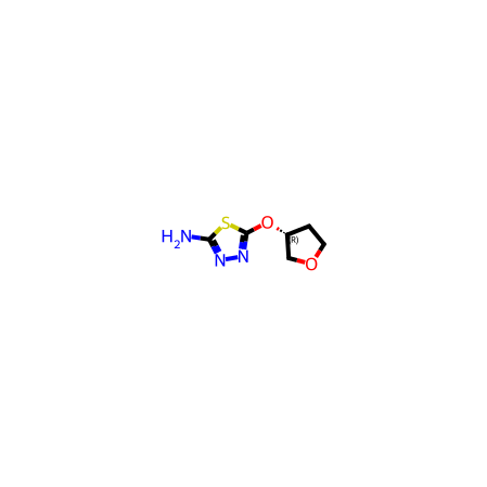 Nc1nnc(O[C@@H]2CCOC2)s1